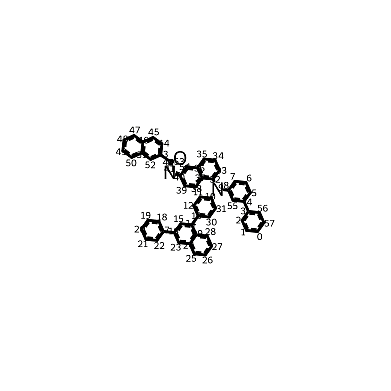 c1ccc(-c2cccc(N(c3ccc(-c4cc(-c5ccccc5)cc5ccccc45)cc3)c3cccc4c3ccc3nc(-c5ccc6ccccc6c5)oc34)c2)cc1